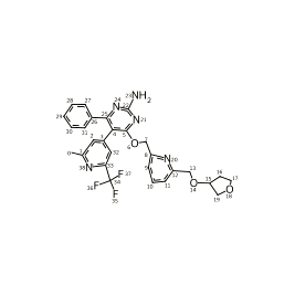 Cc1cc(-c2c(OCc3cccc(COC4CCOC4)n3)nc(N)nc2-c2ccccc2)cc(C(F)(F)F)n1